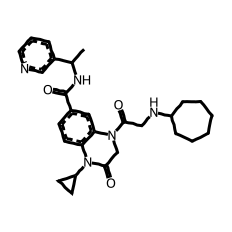 CC(NC(=O)c1ccc2c(c1)N(C(=O)CNC1CCCCCC1)CC(=O)N2C1CC1)c1cccnc1